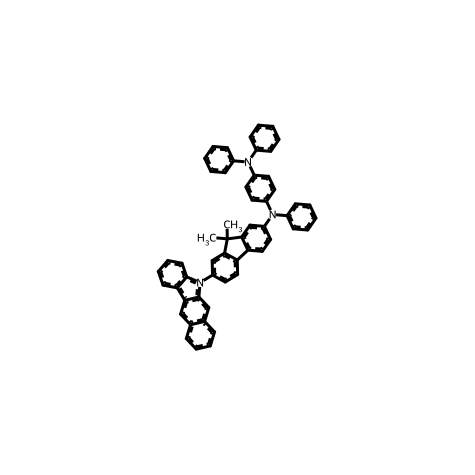 CC1(C)c2cc(N(c3ccccc3)c3ccc(N(c4ccccc4)c4ccccc4)cc3)ccc2-c2ccc(-n3c4ccccc4c4cc5ccccc5cc43)cc21